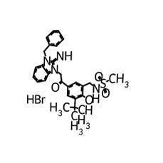 Br.CC(C)(C)c1cc(C(=O)Cn2c(=N)n(Cc3ccccc3)c3ccccc32)cc(CNS(C)(=O)=O)c1O